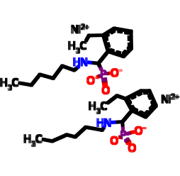 CCCCCCNC(c1ccccc1CC)P(=O)([O-])[O-].CCCCCCNC(c1ccccc1CC)P(=O)([O-])[O-].[Ni+2].[Ni+2]